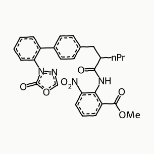 CCCC(Cc1ccc(-c2ccccc2-n2ncoc2=O)cc1)C(=O)Nc1c(C(=O)OC)cccc1[N+](=O)[O-]